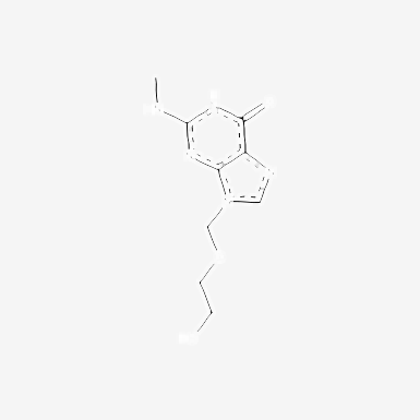 CNc1nc2c(ncn2COCCO)c(=O)[nH]1